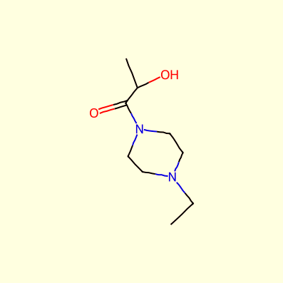 CCN1CCN(C(=O)C(C)O)CC1